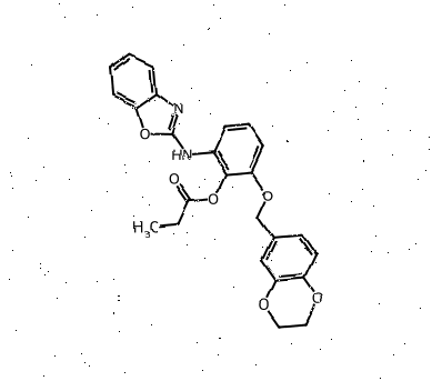 CCC(=O)Oc1c(Nc2nc3ccccc3o2)cccc1OCc1ccc2c(c1)OCCO2